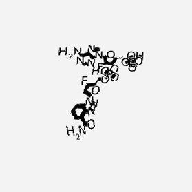 COP(=O)(O)OC[C@H]1O[C@@H](n2cnc3c(N)ncnc32)[C@H](F)[C@@H]1OP(=O)(O)OC[C@H]1O[C@@H](n2nnc3c(C(N)=O)cccc32)C[C@@H]1F